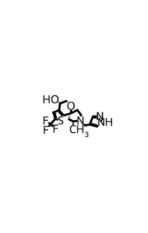 C[C@H]1C[C@@]2(CCN1Cc1cn[nH]c1)OC[C@@H](O)c1cc(C(F)(F)F)sc12